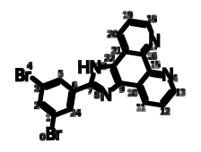 Brc1cc(Br)cc(-c2nc3c4cccnc4c4ncccc4c3[nH]2)c1